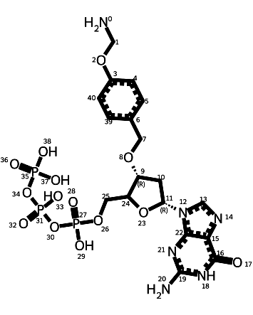 NCOc1ccc(CO[C@@H]2C[C@H](n3cnc4c(=O)[nH]c(N)nc43)OC2COP(=O)(O)OP(=O)(O)OP(=O)(O)O)cc1